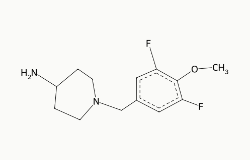 COc1c(F)cc(CN2CCC(N)CC2)cc1F